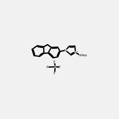 CCCCCC[n+]1ccn(-c2ccc3c(c2)Cc2ccccc2-3)c1.F[B-](F)(F)F